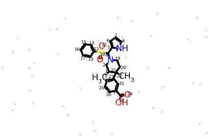 CC1CN(C(c2ccc[nH]2)S(=O)(=O)c2ccccc2)CCC1(C)c1cccc(C(=O)O)c1